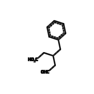 O=CCC(CC(=O)O)Cc1ccccc1